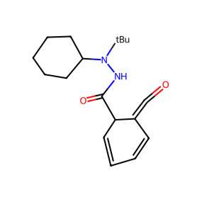 CC(C)(C)N(NC(=O)C1C=CC=CC1=C=O)C1CCCCC1